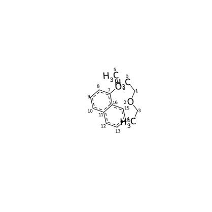 CCOCC.COc1cccc2ccccc12